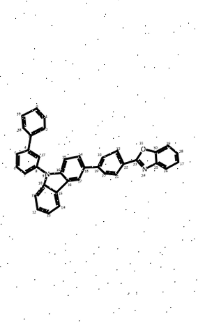 c1ccc(-c2cccc(-n3c4ccccc4c4cc(-c5ccc(-c6nc7ccccc7o6)cc5)ccc43)c2)cc1